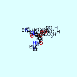 CCN(CC)CCCNC(=O)c1ccc2sc3ccc(C(=O)NCCCN(CC)CC)cc3c2c1.O=C(O)CC(O)(CC(=O)O)C(=O)O.O=C(O)CC(O)(CC(=O)O)C(=O)O